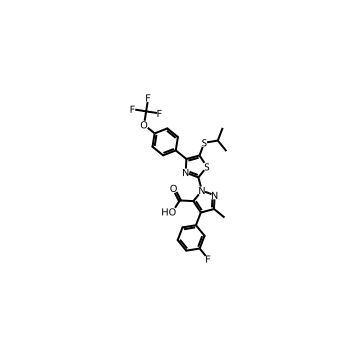 Cc1nn(-c2nc(-c3ccc(OC(F)(F)F)cc3)c(SC(C)C)s2)c(C(=O)O)c1-c1cccc(F)c1